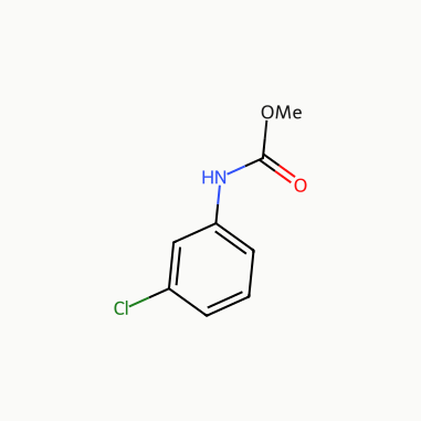 [CH2]OC(=O)Nc1cccc(Cl)c1